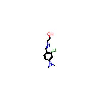 CN(C)c1ccc(C=NCCO)c(Cl)c1